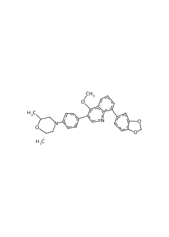 COc1c(-c2ccc(N3CC(C)O[C@@H](C)C3)cc2)cnc2c(-c3ccc4c(c3)OCO4)cccc12